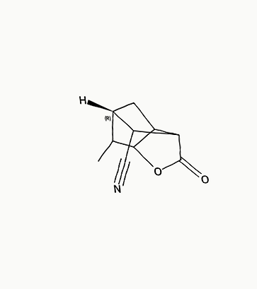 CC1C2OC(=O)C3C2C[C@@H]1C3C#N